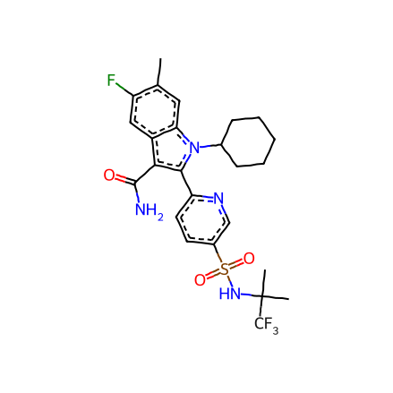 Cc1cc2c(cc1F)c(C(N)=O)c(-c1ccc(S(=O)(=O)NC(C)(C)C(F)(F)F)cn1)n2C1CCCCC1